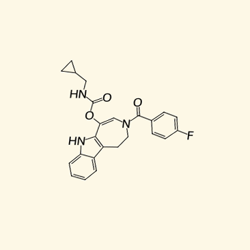 O=C(NCC1CC1)OC1=CN(C(=O)c2ccc(F)cc2)CCc2c1[nH]c1ccccc21